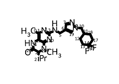 Cc1nc(NCc2cnn(CC3CCC(F)(F)CC3)c2)nc2c1NC(=O)C(C(C)C)N2C